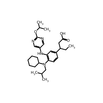 CCC(CC(=O)O)c1ccc(N(CC(C)C)C2CCCCC2)c(Nc2cnc(OC(C)C)nc2)c1